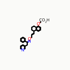 O=C(O)COc1cccc2c1CCCC2C=CCON=C(Cc1cccnc1)c1ccccc1